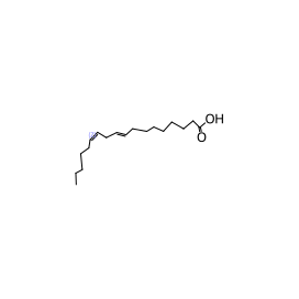 CCCCC/C=C\CC=CCCCCCCCC(=O)O